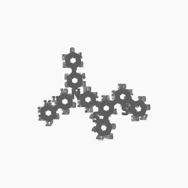 c1ccc(-c2ccc(N(c3ccc(-c4ccccc4)cc3)c3ccc(-c4cc(-c5cccc6c5sc5ccccc56)cc5c4sc4ccccc45)cc3)cc2)cc1